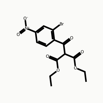 CCOC(=O)C(C(=O)OCC)C(=O)c1ccc([N+](=O)[O-])cc1Br